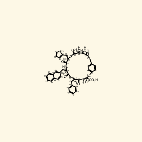 O=C(O)[C@@H]1Cc2ccc(cc2)NC(=O)[C@H](O)[C@@H](O)C(=O)N[C@H](Cc2cccs2)C(=O)N[C@@H](Cc2ccc3ccccc3c2)C(=O)N[C@H](Cc2ccccc2)C(=O)N1